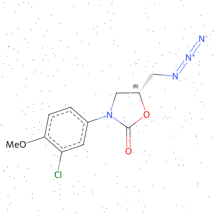 COc1ccc(N2C[C@H](CN=[N+]=[N-])OC2=O)cc1Cl